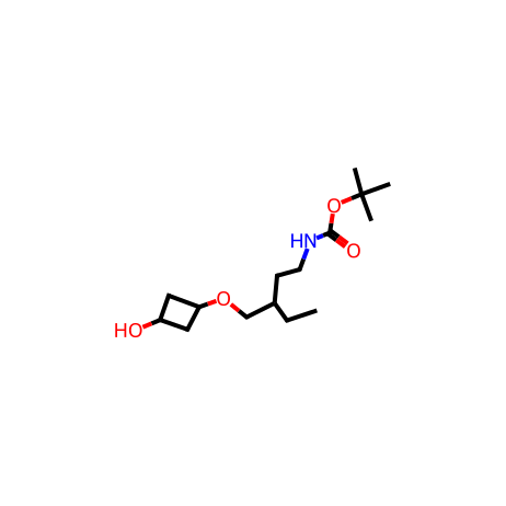 CCC(CCNC(=O)OC(C)(C)C)COC1CC(O)C1